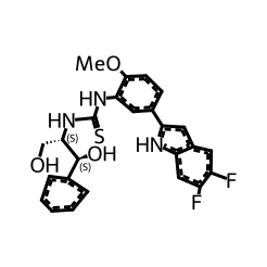 COc1ccc(-c2cc3cc(F)c(F)cc3[nH]2)cc1NC(=S)N[C@@H](CO)[C@@H](O)c1ccccc1